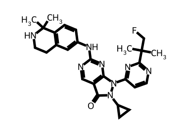 CC(C)(CF)c1nccc(-n2c3nc(Nc4ccc5c(c4)CCNC5(C)C)ncc3c(=O)n2C2CC2)n1